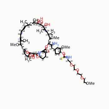 COCCOCCOCCOCCNC(=S)O[C@@H]1CC[C@@H](C[C@@H](N)[C@@H]2C[C@@H](OC)[C@H](C)/C=C(\C)[C@@H](O)[C@@H](O)C(=O)[C@H](C)C[C@H](C)/C=C/C=C/C=C(\C)[C@@H](OC)C[C@@H]3CC[C@@H](C)[C@@](O)(O3)C(=O)C(=O)N3CCCC[C@H]3C(=O)O2)C[C@H]1OC